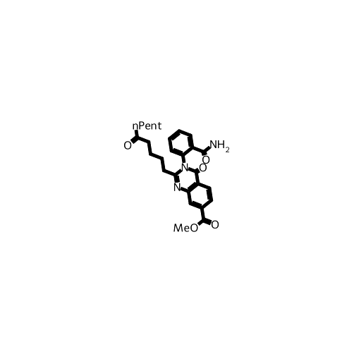 CCCCCC(=O)CCCCc1nc2cc(C(=O)OC)ccc2c(=O)n1-c1ccccc1C(N)=O